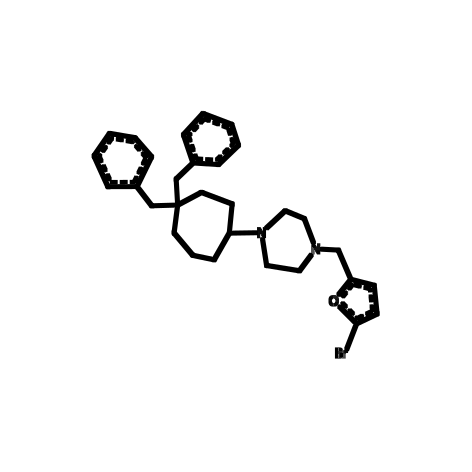 Brc1ccc(CN2CCN(C3CCCC(Cc4ccccc4)(Cc4ccccc4)CC3)CC2)o1